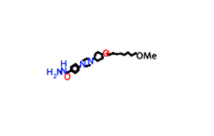 COCCCCCCCCOC1CCC(N2CCN(c3ccc(C(=O)NN)cc3)CC2)CC1